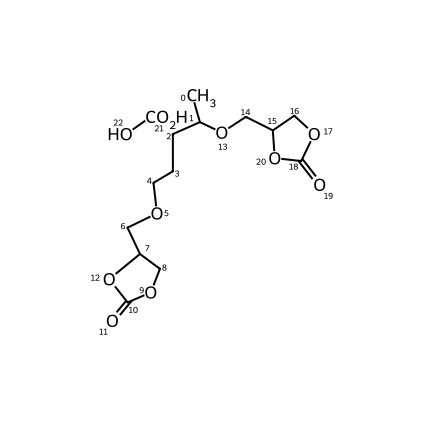 CC(CCCOCC1COC(=O)O1)OCC1COC(=O)O1.O=C(O)O